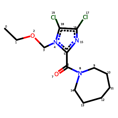 CCOCn1c(C(=O)N2CCCCCC2)nc(Cl)c1Cl